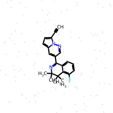 C#Cc1ccc2cc(C3=NC(C)(C)C(C)(C)c4c(F)cccc43)cnn12